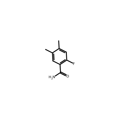 Cc1cc(F)c(C(N)=O)cc1C